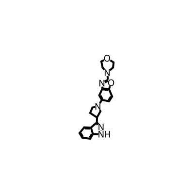 c1ccc2c(C3CCN(c4ccc5oc(N6CCOCC6)nc5c4)C3)n[nH]c2c1